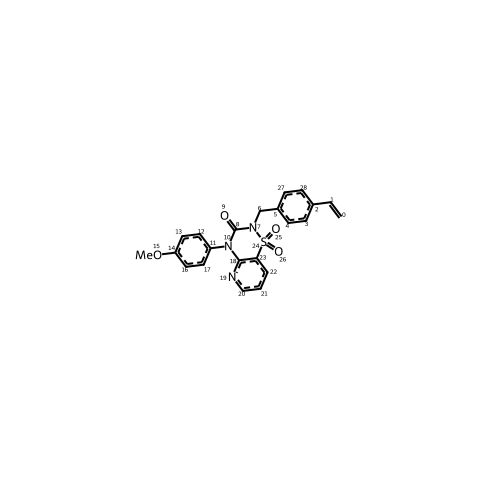 C=Cc1ccc(CN2C(=O)N(c3ccc(OC)cc3)c3ncccc3S2(=O)=O)cc1